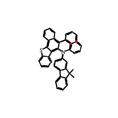 CC1(C)c2ccccc2-c2ccc(N(c3ccccc3)c3c(-c4ccccc4)c4ccccc4c4sc5ccccc5c34)cc21